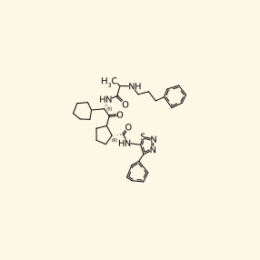 CC(NCCCc1ccccc1)C(=O)N[C@H](C(=O)C1CCC[C@H]1C(=O)Nc1snnc1-c1ccccc1)C1CCCCC1